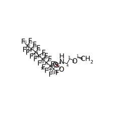 C=COCCNS(=O)(=O)C(F)(F)C(F)(F)C(F)(F)C(F)(F)C(F)(F)C(F)(F)C(F)(F)C(F)(F)F